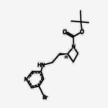 CC(C)(C)OC(=O)N1CC[C@H]1CCNc1cncc(Br)c1